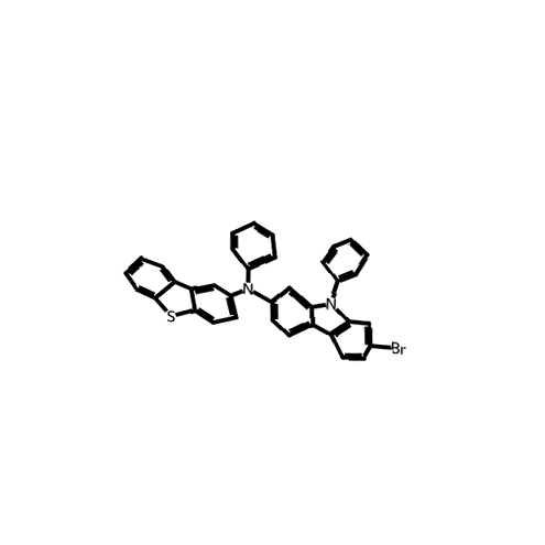 Brc1ccc2c3ccc(N(c4ccccc4)c4ccc5sc6ccccc6c5c4)cc3n(-c3ccccc3)c2c1